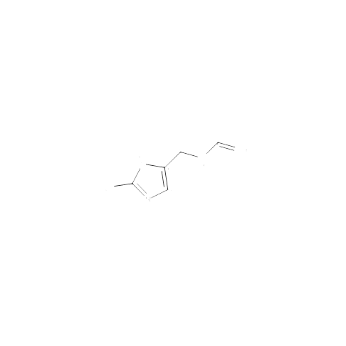 Cc1ncc(CO[C]=O)s1